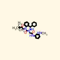 CNc1cccc(NC(=O)CN2NC(C3CCCCC3)c3ccccc3N(CC(=O)C(C)(C)C)C2=O)c1